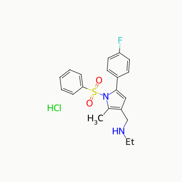 CCNCc1cc(-c2ccc(F)cc2)n(S(=O)(=O)c2ccccc2)c1C.Cl